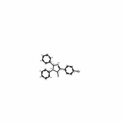 CC1C(c2ccc(Br)cc2)=NC(c2ccccc2)N1c1ccccc1